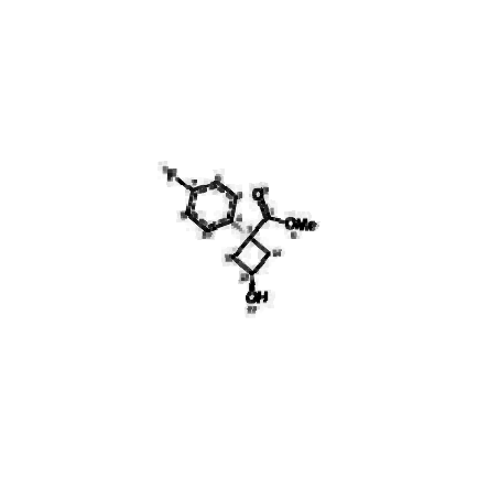 COC(=O)[C@]1(c2ccc(F)cc2)C[C@H](O)C1